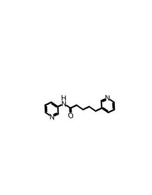 O=C(CCCCc1cccnc1)Nc1cccnc1